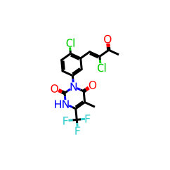 CC(=O)C(Cl)=Cc1cc(-n2c(=O)[nH]c(C(F)(F)F)c(C)c2=O)ccc1Cl